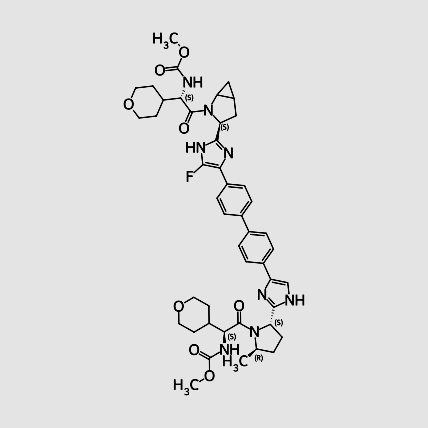 COC(=O)N[C@H](C(=O)N1C2CC2C[C@H]1c1nc(-c2ccc(-c3ccc(-c4c[nH]c([C@@H]5CC[C@@H](C)N5C(=O)[C@@H](NC(=O)OC)C5CCOCC5)n4)cc3)cc2)c(F)[nH]1)C1CCOCC1